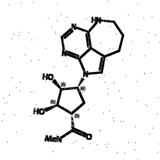 CNC(=O)[C@H]1C[C@@H](n2cc3c4c(ncnc42)NCCC3)[C@H](O)[C@@H]1O